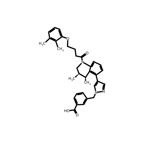 Cc1cccc(OCCCC(=O)N2C[C@H](C)[C@H](C)c3c(-c4cnn(Cc5cccc(C(=O)O)c5)c4)cccc32)c1C